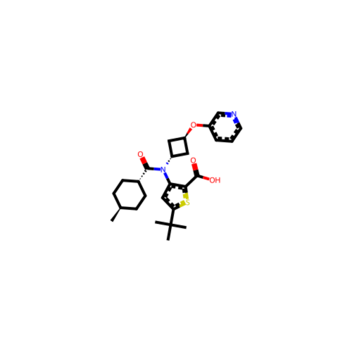 CC(C)(C)c1cc(N(C(=O)[C@H]2CC[C@H](C)CC2)[C@H]2C[C@H](Oc3cccnc3)C2)c(C(=O)O)s1